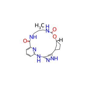 C[C@H]1CCNC(=O)c2cccc(n2)Nc2cc([nH]n2)C2CC[C@H](C2)OC(=O)N1